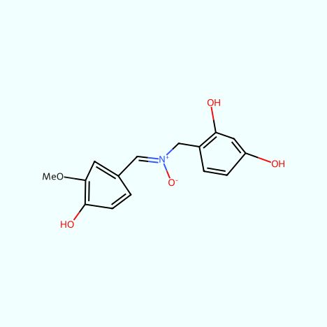 COc1cc(/C=[N+](\[O-])Cc2ccc(O)cc2O)ccc1O